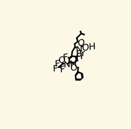 CC(C)CCCC(Cc1c(Br)cc(OCc2ccccc2)c(NC(=O)C(F)(F)F)c1F)NC(=O)O